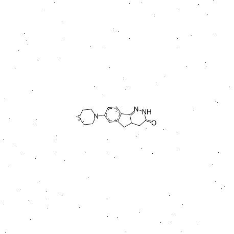 O=C1CC2Cc3cc(N4CCSCC4)ccc3C2=NN1